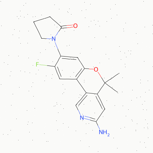 CC1(C)Oc2cc(N3CCCC3=O)c(F)cc2-c2cnc(N)cc21